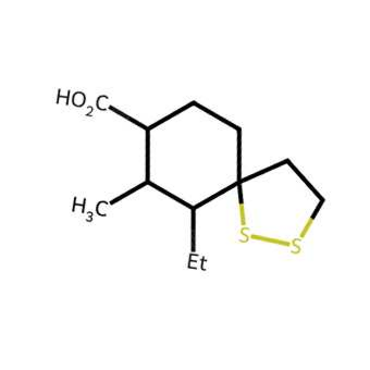 CCC1C(C)C(C(=O)O)CCC12CCSS2